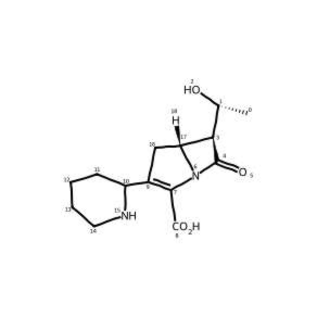 C[C@@H](O)[C@H]1C(=O)N2C(C(=O)O)=C(C3CCCCN3)C[C@H]12